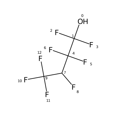 OC(F)(F)C(F)(F)C(F)C(F)(F)F